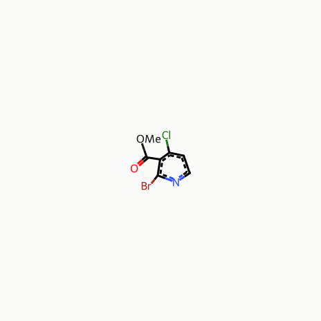 COC(=O)c1c(Cl)ccnc1Br